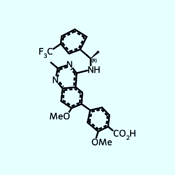 COc1cc(-c2cc3c(N[C@H](C)c4cccc(C(F)(F)F)c4)nc(C)nc3cc2OC)ccc1C(=O)O